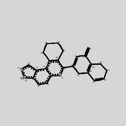 C=C1C=C(c2nc3ccc4[nH]ncc4c3c3c2CCCC3)CC2=C1CCC=C2